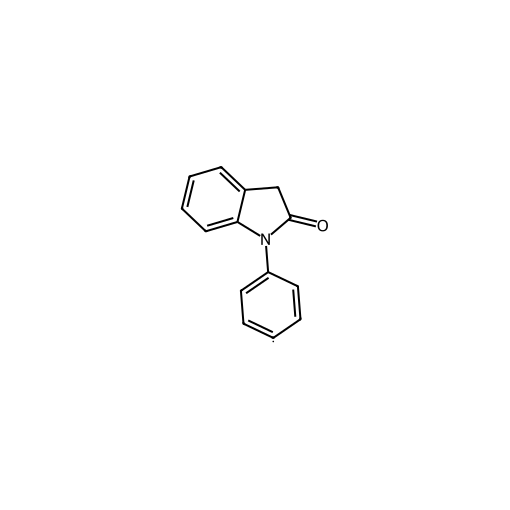 O=C1Cc2ccccc2N1c1cc[c]cc1